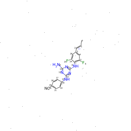 C/C=C/c1cc(F)c(Nc2nc(N)nc(Nc3ccc(C#N)cc3)n2)c(F)c1